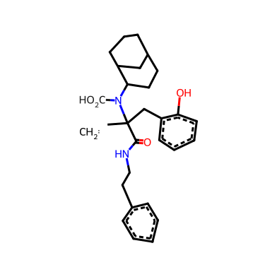 CC(Cc1ccccc1O)(C(=O)NCCc1ccccc1)N(C(=O)O)C1CCC2CCCC1C2.[CH2]